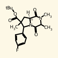 CC1C(=O)N2C(c3ccc(F)cc3)C(C)(C(=O)OC(C)(C)C)C[C@H]2C(=O)N1C